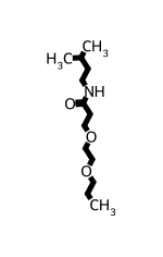 CCCOCCOCCC(=O)NCCC(C)C